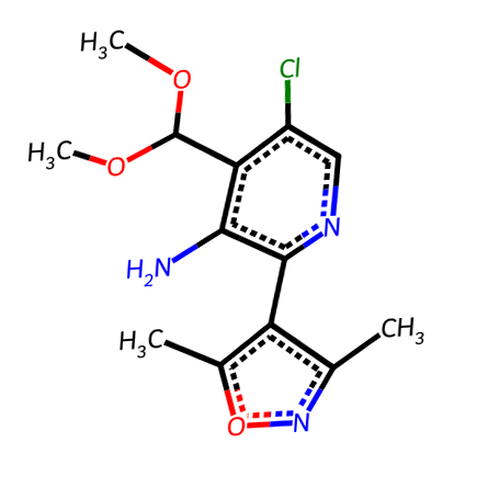 COC(OC)c1c(Cl)cnc(-c2c(C)noc2C)c1N